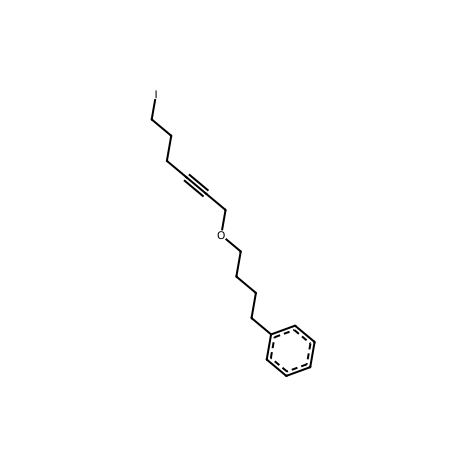 ICCCC#CCOCCCCc1ccccc1